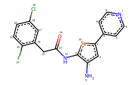 Nc1cc(-c2ccncc2)sc1NC(=O)Cc1cc(Cl)ccc1F